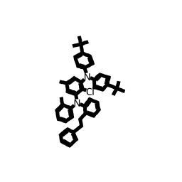 Cc1cc(N(c2ccc(C(C)(C)C)cc2)c2ccc(C(C)(C)C)cc2)c(Cl)c(N(c2ccccc2C)c2ccccc2CCc2ccccc2)c1